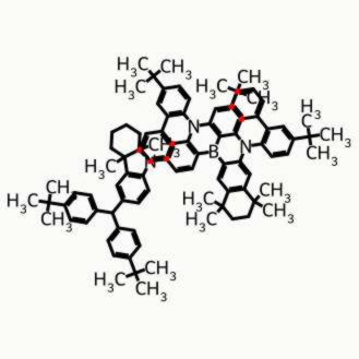 CC(C)(C)c1ccc(C(c2ccc(C(C)(C)C)cc2)c2ccc3c(c2)C2(C)CCCCC2(C)N3c2ccc3c(c2)N(c2ccc(C(C)(C)C)cc2-c2ccccc2)c2cc(C(C)(C)C)cc4c2B3c2cc3c(cc2N4c2ccc(C(C)(C)C)cc2-c2ccccc2)C(C)(C)CCC3(C)C)cc1